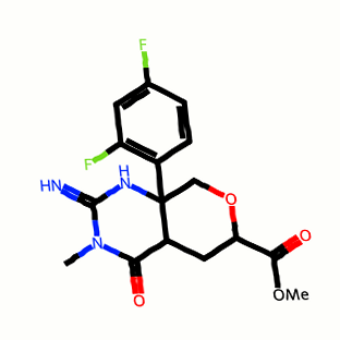 COC(=O)C1CC2C(=O)N(C)C(=N)NC2(c2ccc(F)cc2F)CO1